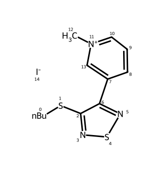 CCCCSc1nsnc1-c1ccc[n+](C)c1.[I-]